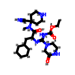 CCOC(=O)NC(=NC(CC1CCCCC1)C(=O)N(C)C1(C#N)CCNCC1)N1CCNC(=O)C1